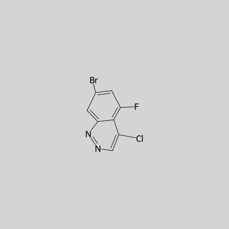 Fc1cc(Br)cc2nncc(Cl)c12